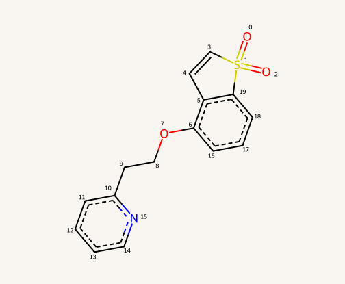 O=S1(=O)C=Cc2c(OCCc3ccccn3)cccc21